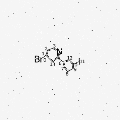 Brc1ccnc(-c2cccc(I)c2)c1